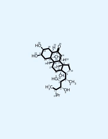 CC(C)[C@H](C)[C@@H](O)[C@H](O)[C@@H](C)[C@H]1CC[C@H]2[C@@H]3CC(=O)[C@@H]4C[C@H](O)[C@H](O)C[C@]4(C)[C@H]3CC[C@]12C